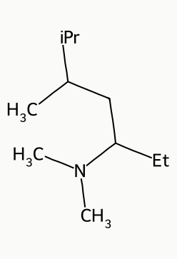 CCC(CC(C)C(C)C)N(C)C